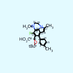 Cc1ccc(-c2c([C@H](OC(C)(C)C)C(=O)O)c(F)c3c4c2cc(C)n4CCN3C)cc1